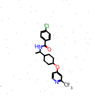 CC(NC(=O)c1ccc(Cl)cc1)C1CCC(Oc2ccnc(C(F)(F)F)c2)CC1